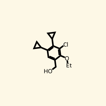 CCOc1c(CO)cc(C2CC2)c(C2CC2)c1Cl